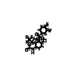 O=C1Nc2ccc(Cl)cc2C(CNS(=O)(=O)c2ccc(F)c(F)c2)(C(F)(F)F)O1